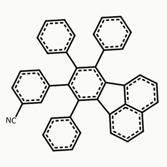 N#Cc1cccc(-c2c(-c3ccccc3)c(-c3ccccc3)c3c(c2-c2ccccc2)-c2cccc4cccc-3c24)c1